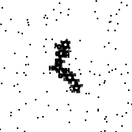 COc1ccccc1C(C)(C)NC(=O)c1cc2c(NC(=O)c3ccc(CN4CCCC4)cc3)n[nH]c2s1